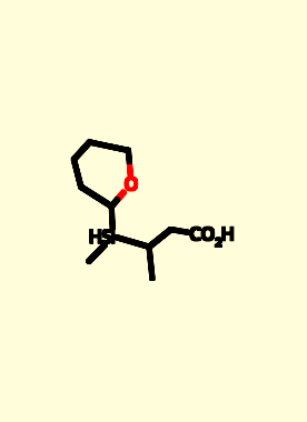 CC(CC(=O)O)[SiH](C)C1CCCCO1